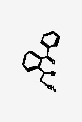 CCC(Br)c1ccccc1C(=O)c1ccccc1